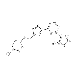 Cc1ccc(CCn2cnc(-c3cc(-c4nn[nH]c4Cl)ccn3)c2)cc1